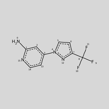 Nc1cc(-n2ccc(C(F)(F)F)n2)ccn1